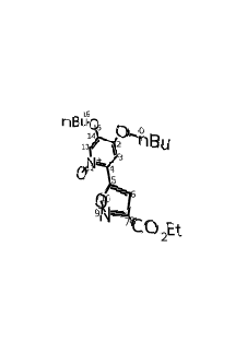 CCCCOc1cc(-c2cc(C(=O)OCC)no2)[n+]([O-])cc1OCCCC